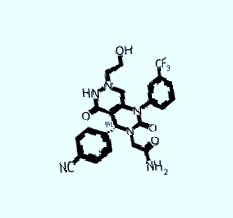 N#Cc1ccc([C@@H]2C3=C(CN(CCO)NC3=O)N(c3cccc(C(F)(F)F)c3)C(=O)N2CC(N)=O)cc1